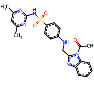 CC(=O)n1c(CNc2ccc(S(=O)(=O)Nc3nc(C)cc(C)n3)cc2)nc2ccccc21